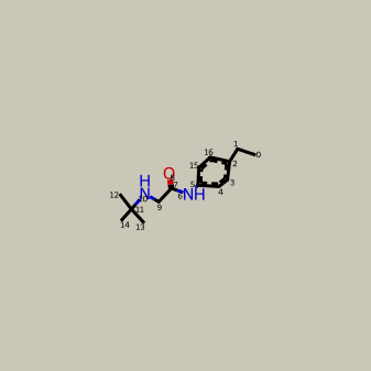 CCc1ccc(NC(=O)CNC(C)(C)C)cc1